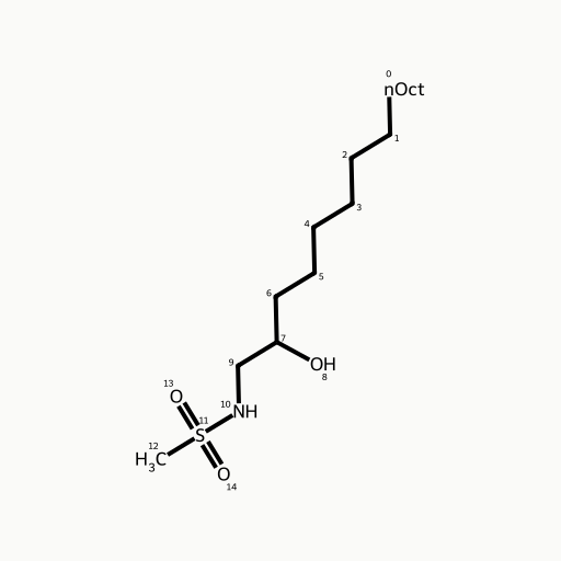 CCCCCCCCCCCCCCC(O)CNS(C)(=O)=O